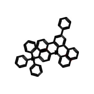 c1ccc(-c2cc(-c3ccccc3)c(N(c3ccccc3)c3ccc([Si](c4ccccc4)(c4ccccc4)c4ccccc4)cc3)c(-c3ccccc3)c2)cc1